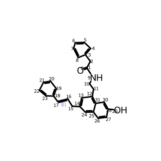 O=C(Cc1ccccc1)NCCc1cc(C/C=C/c2ccccc2)cc2ccc(O)cc12